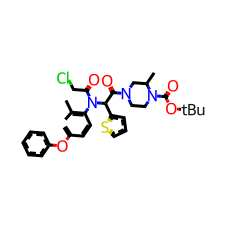 C=C(/C=C\C(=C(C)C)N(C(=O)CCl)C(C(=O)N1CCN(C(=O)OC(C)(C)C)C(C)C1)c1cccs1)Oc1ccccc1